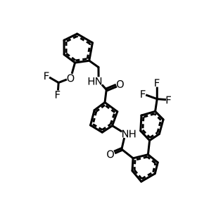 O=C(NCc1ccccc1OC(F)F)c1cccc(NC(=O)c2ccccc2-c2ccc(C(F)(F)F)cc2)c1